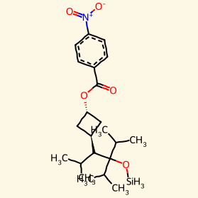 CC(C)C([C@H]1C[C@H](OC(=O)c2ccc([N+](=O)[O-])cc2)C1)C(O[SiH3])(C(C)C)C(C)C